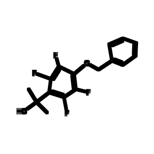 CC(C)(O)c1c(F)c(F)c(OCc2ccccc2)c(F)c1F